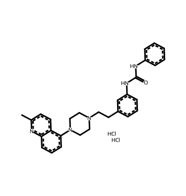 Cc1ccc2c(N3CCN(CCc4cccc(NC(=O)Nc5ccccc5)c4)CC3)cccc2n1.Cl.Cl